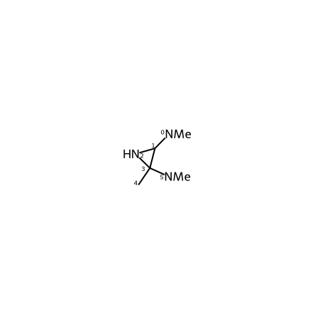 CNC1NC1(C)NC